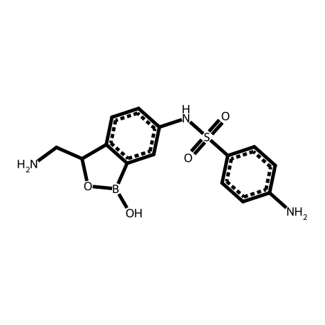 NCC1OB(O)c2cc(NS(=O)(=O)c3ccc(N)cc3)ccc21